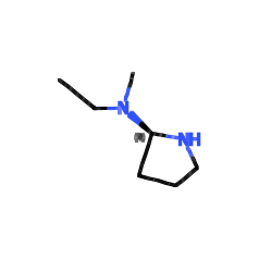 CCN(C)[C@@H]1CCCN1